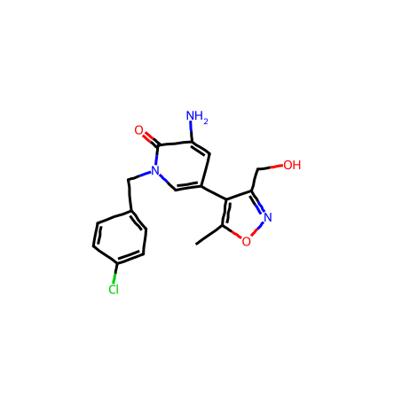 Cc1onc(CO)c1-c1cc(N)c(=O)n(Cc2ccc(Cl)cc2)c1